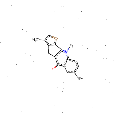 CCn1c2c(c(=O)c3cc(C(C)C)ccc31)Cc1c(C)csc1-2